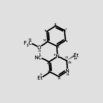 CCC1=C(C#N)N(c2ccccc2OC(F)(F)F)[C@H](CC)N=C1